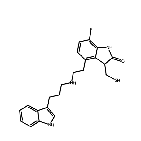 O=C1Nc2c(F)ccc(CCNCCCc3c[nH]c4ccccc34)c2C1CS